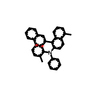 Cc1ccccc1N(c1ccccc1)c1ccc2c(C)cccc2c1-c1ccc2ccccc2c1